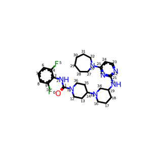 O=C(Nc1c(F)cccc1F)N1CCC(N2CCCC(Nc3nccc(N4CCCCCC4)n3)C2)CC1